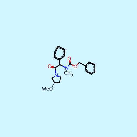 CO[C@H]1CCN(C(=O)C(c2ccccc2)N(C)C(=O)OCc2ccccc2)C1